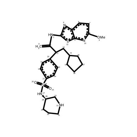 C=C(Nc1nc2ccc(OC)nc2s1)C(CC1CCCC1)c1ccc(S(=O)(=O)N[C@@H]2CCCNC2)cc1